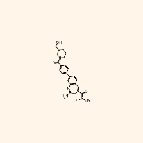 CCCN(CCC)C(=O)C1=Cc2ccc(-c3ccc(C(=O)N4CCCC(CO)C4)cc3)cc2N=C(N)C1